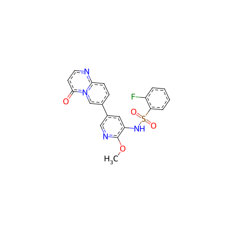 COc1ncc(-c2ccc3nccc(=O)n3c2)cc1NS(=O)(=O)c1ccccc1F